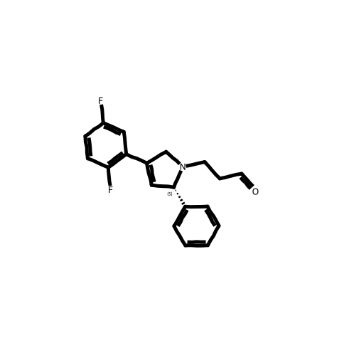 O=CCCN1CC(c2cc(F)ccc2F)=C[C@H]1c1ccccc1